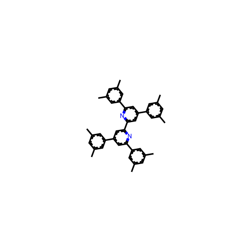 Cc1cc(C)cc(-c2cc(-c3cc(C)cc(C)c3)nc(-c3cc(-c4cc(C)cc(C)c4)cc(-c4cc(C)cc(C)c4)n3)c2)c1